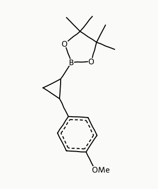 COc1ccc(C2CC2B2OC(C)(C)C(C)(C)O2)cc1